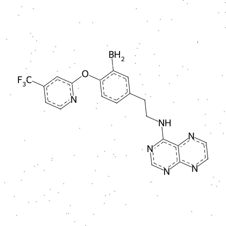 Bc1cc(CCNc2ncnc3nccnc23)ccc1Oc1cc(C(F)(F)F)ccn1